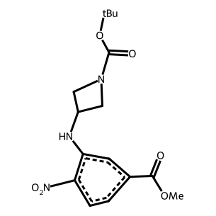 COC(=O)c1ccc([N+](=O)[O-])c(NC2CN(C(=O)OC(C)(C)C)C2)c1